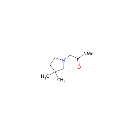 CNC(=O)CN1CCC(C)(C)C1